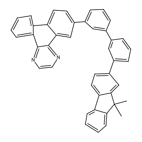 CC1(C)c2ccccc2-c2ccc(-c3cccc(-c4cccc(-c5ccc6c7ccccc7c7nccnc7c6c5)c4)c3)cc21